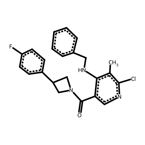 Cc1c(Cl)ncc(C(=O)N2CC(c3ccc(F)cc3)C2)c1NCc1ccccc1